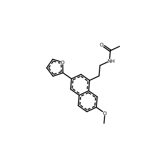 COc1ccc2cc(-c3ccco3)cc(CCNC(C)=O)c2c1